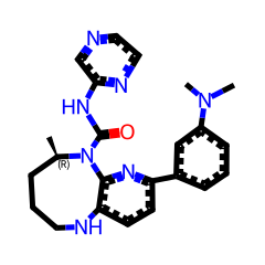 C[C@@H]1CCCNc2ccc(-c3cccc(N(C)C)c3)nc2N1C(=O)Nc1cnccn1